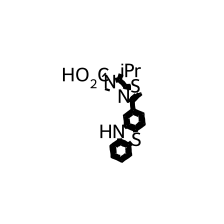 CC(C)C(c1nc(-c2ccc3c(c2)Nc2ccccc2S3)cs1)N(C)C(=O)O